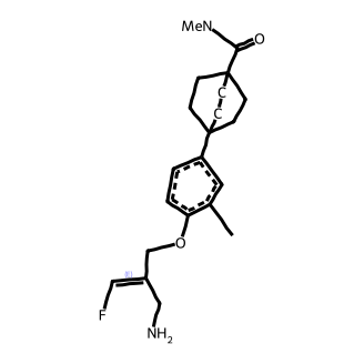 CNC(=O)C12CCC(c3ccc(OC/C(=C/F)CN)c(C)c3)(CC1)CC2